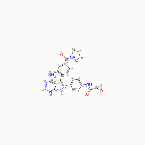 Cn1c(-c2ccc(NC(=O)[C@H]3CO3)cc2)c(-c2ccc(C(=O)N3CCCC3)cc2)c2c(N)ncnc21